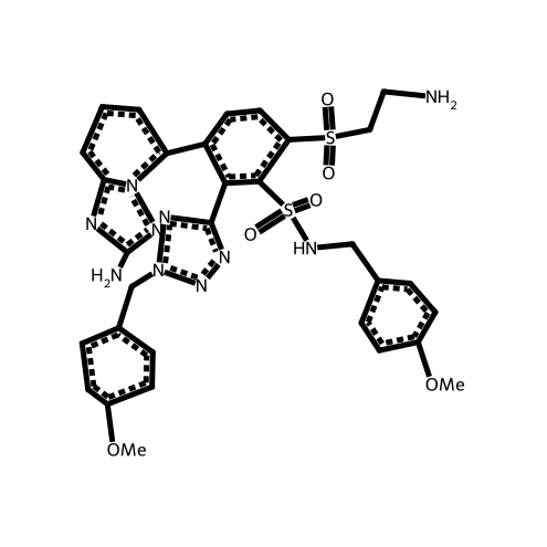 COc1ccc(CNS(=O)(=O)c2c(S(=O)(=O)CCN)ccc(-c3cccc4nc(N)nn34)c2-c2nnn(Cc3ccc(OC)cc3)n2)cc1